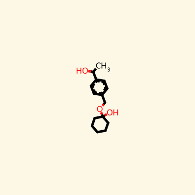 CC(O)c1ccc(COC2(O)CCCCC2)cc1